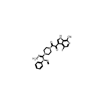 C=NN(/C(=N\N)N1CCN(C(=O)C(=O)c2c[nH]c3c(C#N)ncc(F)c23)CC1)c1ccccc1